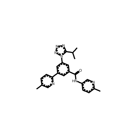 Cc1ccc(-c2cc(C(=O)Nc3ccc(C)nc3)cc(-n3nnnc3C(C)C)c2)nc1